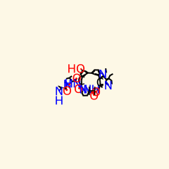 CCc1ccncc1-c1c2c3cc(ccc3n1CC)-c1cc(O)cc(c1)C[C@H](NC(=O)[C@@H](CN(C)C(=O)[C@@H]1CN1)C(C)C)C(=O)N1CCC[C@H](N1)C(=O)OCC(C)(C)C2